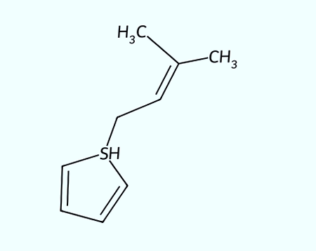 CC(C)=CC[SH]1C=CC=C1